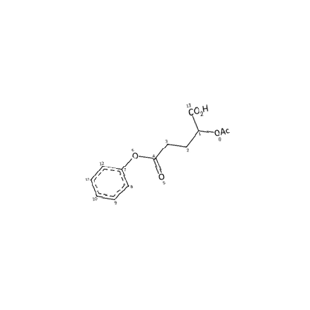 CC(=O)OC(CCC(=O)Oc1ccccc1)C(=O)O